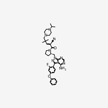 CC(C)N1CCN(CC(C)(C)/C=C(\C#N)C(=O)N2CCC[C@@H]2Cn2nc(-c3ccc(Oc4ccccc4)cc3F)c3c(N)ncnc32)CC1